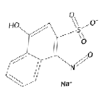 O=Nc1c(S(=O)(=O)[O-])cc(O)c2ccccc12.[Na+]